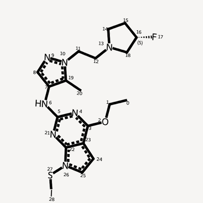 CCOc1nc(Nc2cnn(CCN3CC[C@H](F)C3)c2C)nc2c1ccn2SI